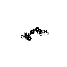 CN(Cc1ccc(Oc2ccc(CNc3c(N)c(Cl)nc4ccccc34)cc2)cc1)C(=O)O